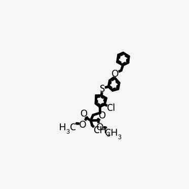 CCOC(=O)C(CC)(CCc1ccc(Sc2cccc(OCc3ccccc3)c2)cc1Cl)C(=O)OCC